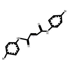 O=C(/C=C/C(=O)Nc1ccc(Br)cc1)Nc1ccc(Br)cc1